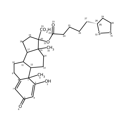 CC12C(O)=CC(=O)C=C1CCC1C2CCC2(C)C1CCC2(OC(=O)CCCC[C@@H]1CCSS1)C(=O)O